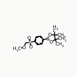 COCS(=O)(=O)c1ccc(B2OC(C)(C)C(C)(C)O2)cc1